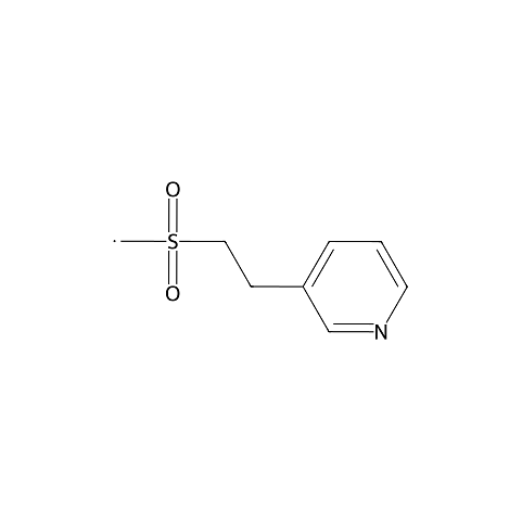 [CH2]S(=O)(=O)CCc1cccnc1